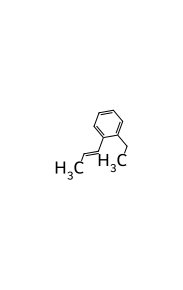 C/C=C/c1ccccc1CC